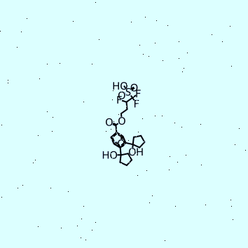 O=C(OCCC(F)C(F)(F)S(=O)(=O)O)c1cc2oc1c(C1(O)CCCC1)c2C1(O)CCCC1